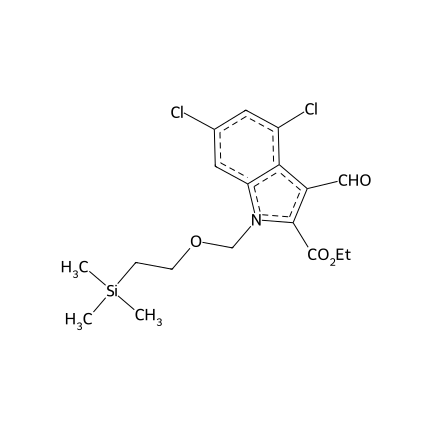 CCOC(=O)c1c(C=O)c2c(Cl)cc(Cl)cc2n1COCC[Si](C)(C)C